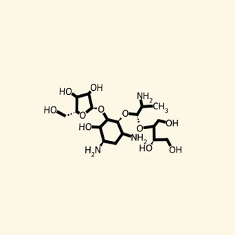 CC(N)[C@H](OC(CO)[C@@H](O)CO)O[C@@H]1C(N)C[C@@H](N)C(O)C1O[C@@H]1O[C@H](CO)C(O)C1O